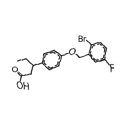 CCC(CC(=O)O)c1ccc(OCc2cc(F)ccc2Br)cc1